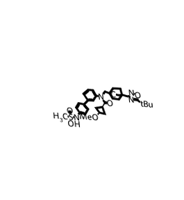 CO[C@H]1C[C@@H](C(=O)N(CC23CCC(c4noc(C(C)(C)C)n4)(CC2)CC3)c2cccc(-c3ccc(NS(C)(=O)=O)cc3)c2)C1